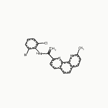 C=C(Nc1c(Cl)cccc1Br)c1ccc2ccc3ccc(C)nc3c2n1